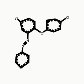 Clc1ccc(Oc2ccc(Cl)cc2/N=N/c2ccccc2)cc1